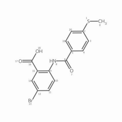 CSc1ccc(C(=O)Nc2ccc(Br)cc2C(=O)O)cc1